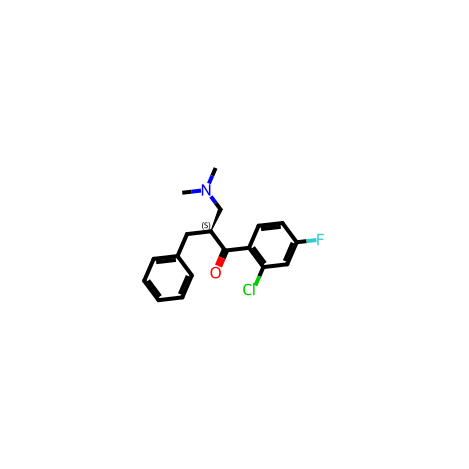 CN(C)C[C@H](Cc1ccccc1)C(=O)c1ccc(F)cc1Cl